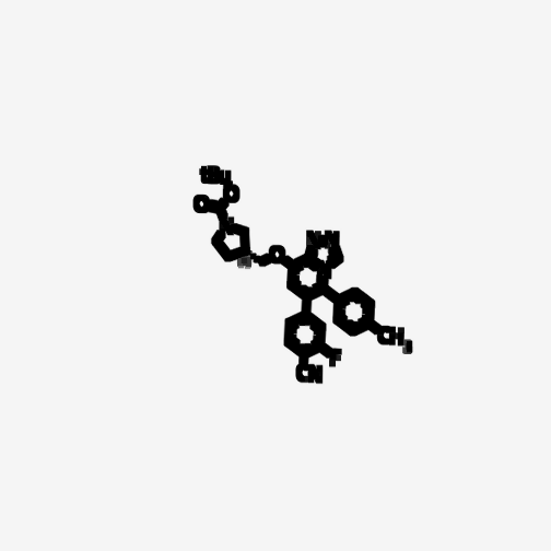 Cc1ccc(-c2c(-c3ccc(C#N)c(F)c3)cc(OC[C@@H]3CCN(C(=O)OC(C)(C)C)C3)c3nncn23)cc1